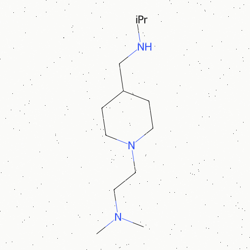 CC(C)NCC1CCN(CCN(C)C)CC1